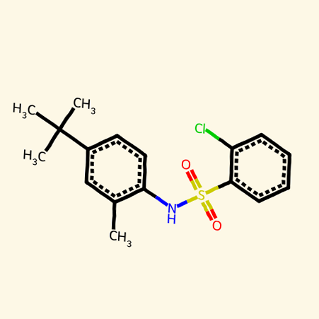 Cc1cc(C(C)(C)C)ccc1NS(=O)(=O)c1ccccc1Cl